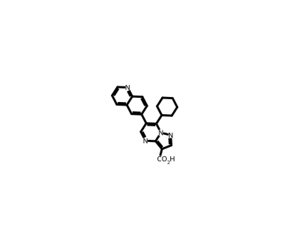 O=C(O)c1cnn2c(C3CCCCC3)c(-c3ccc4ncccc4c3)cnc12